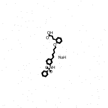 O=C(O)CCc1ccccc1OCCC/C=C/c1cccc(NS(=O)(=O)c2ccccc2)c1.[NaH]